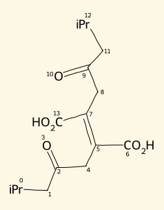 CC(C)CC(=O)C/C(C(=O)O)=C(/CC(=O)CC(C)C)C(=O)O